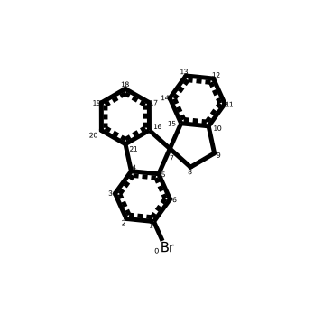 Brc1ccc2c(c1)C1(CCc3ccccc31)c1ccccc1-2